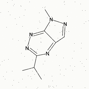 CC(C)c1nnc2c(cnn2C)n1